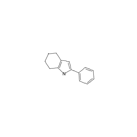 C1=C(c2ccccc2)[N]C2=C1CCCC2